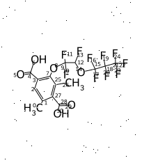 Cc1cc(C(=O)O)c(OC(F)(F)C(F)OC(F)(F)C(F)(F)C(F)(F)F)c(C)c1C(=O)O